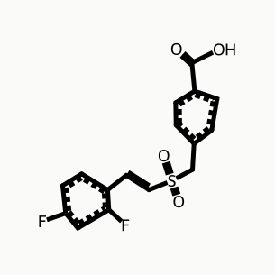 O=C(O)c1ccc(CS(=O)(=O)C=Cc2ccc(F)cc2F)cc1